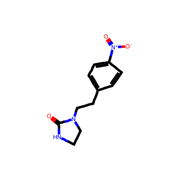 O=C1NCCN1CCc1ccc([N+](=O)[O-])cc1